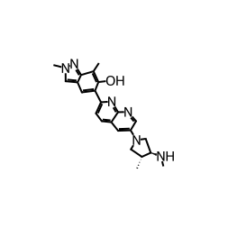 CN[C@@H]1CN(c2cnc3nc(-c4cc5cn(C)nc5c(C)c4O)ccc3c2)C[C@H]1C